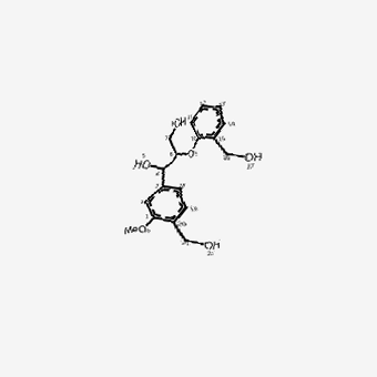 COc1cc(C(O)C(CO)Oc2ccccc2CO)ccc1CO